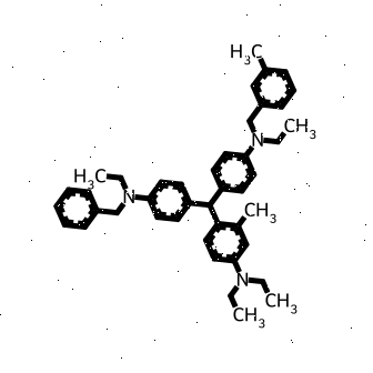 CCN(CC)c1ccc(C(c2ccc(N(CC)Cc3ccccc3)cc2)c2ccc(N(CC)Cc3cccc(C)c3)cc2)c(C)c1